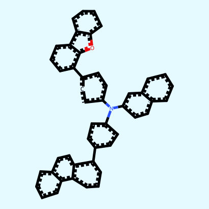 c1ccc2cc(N(c3ccc(-c4cccc5c4ccc4ccccc45)cc3)c3ccc(-c4cccc5c4oc4ccccc45)cc3)ccc2c1